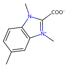 Cc1ccc2c(c1)[n+](C)c(C(=O)[O-])n2C